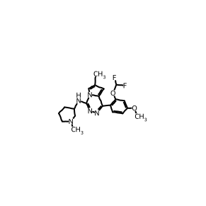 COc1ccc(-c2nnc(NC3CCCN(C)C3)n3cc(C)cc23)c(OC(F)F)c1